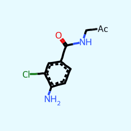 CC(=O)CNC(=O)c1ccc(N)c(Cl)c1